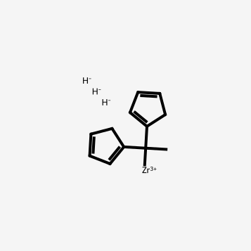 C[C]([Zr+3])(C1=CC=CC1)C1=CC=CC1.[H-].[H-].[H-]